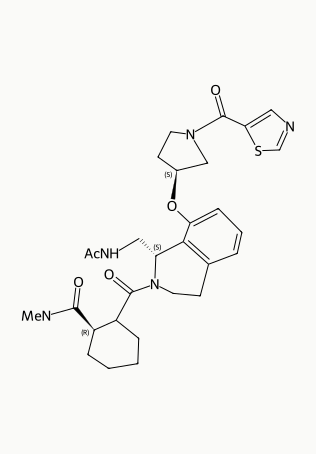 CNC(=O)[C@@H]1CCCCC1C(=O)N1CCc2cccc(O[C@H]3CCN(C(=O)c4cncs4)C3)c2[C@H]1CNC(C)=O